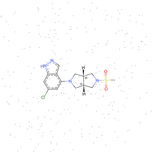 CS(=O)(=O)N1C[C@H]2CN(c3cc(Cl)cc4[nH]ncc34)C[C@H]2C1